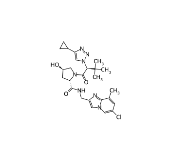 Cc1cc(Cl)cn2cc(CNC(=O)[C@@H]3C[C@@H](O)CN3C(=O)[C@@H](n3cc(C4CC4)nn3)C(C)(C)C)nc12